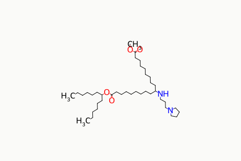 CCCCCCC(CCCCCC)OC(=O)CCCCCCCCC(CCCCCCCCC(=O)OC)NCCCN1CCCC1